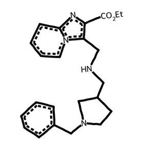 CCOC(=O)c1nc2ccccn2c1CNCC1CCN(Cc2ccccc2)C1